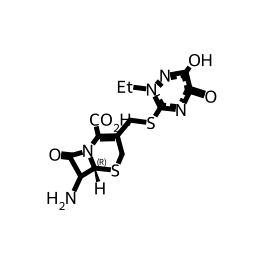 CCn1nc(O)c(=O)nc1SCC1=C(C(=O)O)N2C(=O)C(N)[C@H]2SC1